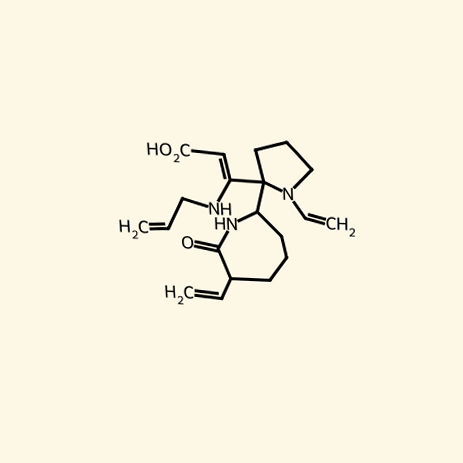 C=CCNC(=CC(=O)O)C1(C2CCCC(C=C)C(=O)N2)CCCN1C=C